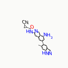 Cc1cc2[nH]ncc2cc1-c1cc(N)c2cnc(NC(=O)C3C[C@H]3C#N)cc2c1